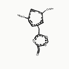 COc1cc(OC)cc(-c2nsc(=O)o2)c1